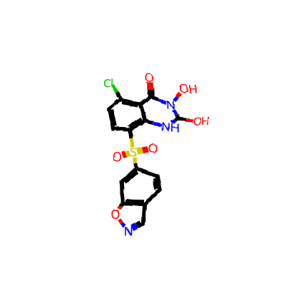 O=C1c2c(Cl)ccc(S(=O)(=O)c3ccc4cnoc4c3)c2NC(O)N1O